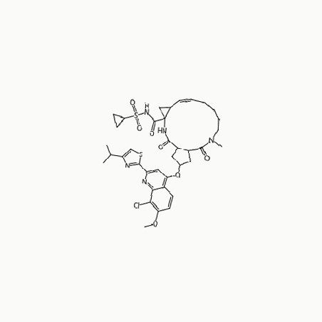 COc1ccc2c(OC3CC4C(=O)NC5(C(=O)NS(=O)(=O)C6CC6)CC5C=CCCCCN(C)C(=O)C4C3)cc(-c3nc(C(C)C)cs3)nc2c1Cl